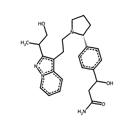 CC(CO)c1nn2ccccc2c1CCN1CCC[C@@H]1c1ccc(C(O)CC(N)=O)cc1